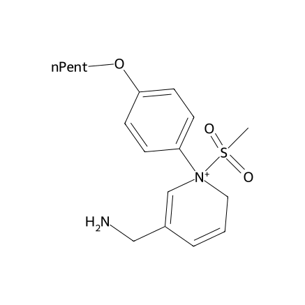 CCCCCOc1ccc([N+]2(S(C)(=O)=O)C=C(CN)C=CC2)cc1